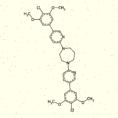 COc1cc(-c2ccc(N3CCCN(c4ccc(-c5cc(OC)c(Cl)c(OC)c5)cn4)CC3)nc2)cc(OC)c1Cl